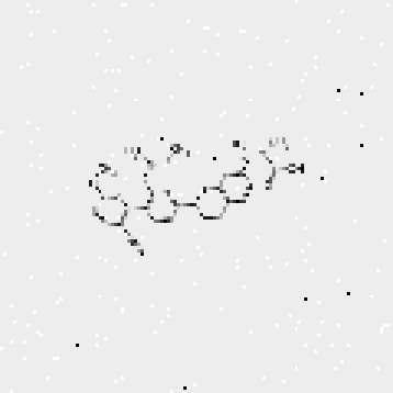 CCN(C)Cc1cc(C2CCc3ccc([C@H](O)[C@H](C)C(=O)O)cc3O2)ccc1-c1cc(OC)ncc1C#N